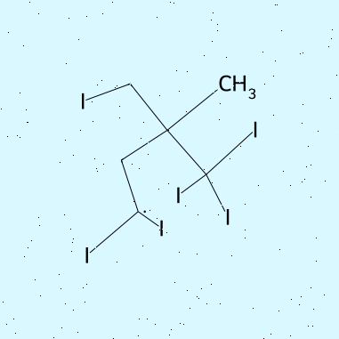 CC(CI)(C[C](I)I)C(I)(I)I